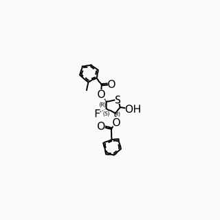 Cc1ccccc1C(=O)O[C@@H]1SC(O)[C@H](OC(=O)c2ccccc2)[C@@H]1F